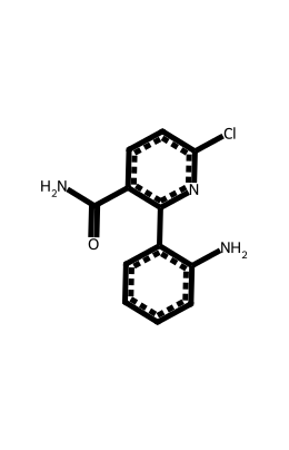 NC(=O)c1ccc(Cl)nc1-c1ccccc1N